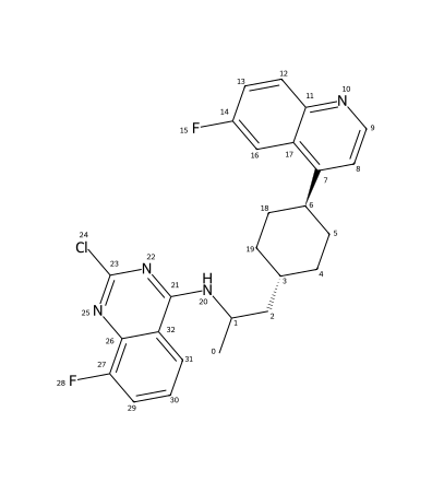 CC(C[C@H]1CC[C@H](c2ccnc3ccc(F)cc32)CC1)Nc1nc(Cl)nc2c(F)cccc12